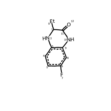 CCC1Nc2ccc(F)cc2NC1=O